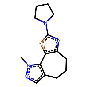 Cn1ncc2c1-c1sc(N3CCCC3)nc1CCC2